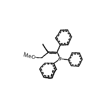 COC/C(C)=C(\B(c1ccccc1)c1ccccc1)c1ccccc1